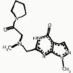 CN(CC(=O)N1CCCC1)Cc1nc2c(cnn2C)c(=O)[nH]1